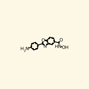 Nc1ccc(-c2nc3cc(C(=O)NO)ccc3o2)cc1